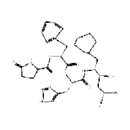 CC[C@@H](C[C@H](O)[C@H](CC1CCCCC1)NC(=O)[C@H](Cc1c[nH]cn1)NC(=O)[C@H](Cc1ccccc1)NC(=O)C1CCC(=O)N1)C(C)C